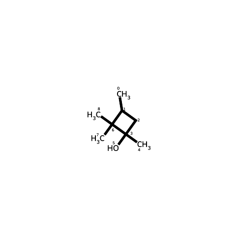 CC1CC(C)(O)C1(C)C